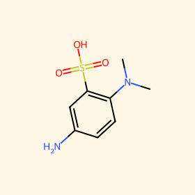 CN(C)c1ccc(N)cc1S(=O)(=O)O